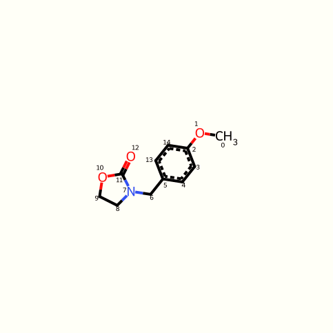 COc1ccc(CN2CCOC2=O)cc1